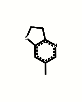 Cc1cnc2c(c1)SCC2